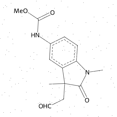 COC(=O)Nc1ccc2c(c1)C(C)(CC=O)C(=O)N2C